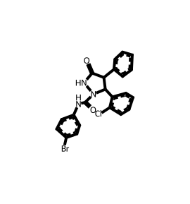 O=C1NN(C(=O)Nc2ccc(Br)cc2)C(c2ccccc2Cl)C1c1ccccc1